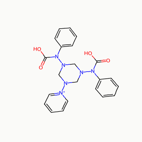 O=C(O)N(c1ccccc1)N1CN(N(C(=O)O)c2ccccc2)CN([n+]2ccccc2)C1